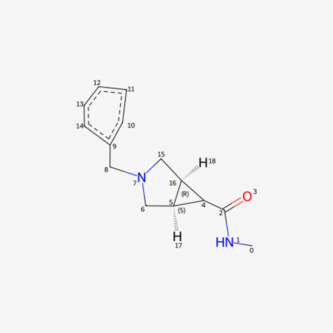 CNC(=O)C1[C@H]2CN(Cc3ccccc3)C[C@@H]12